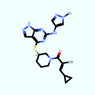 CCn1cc(Nc2nc(S[C@@H]3CCCN(C(=O)C(C#N)=CC4CC4)C3)c3cn[nH]c3n2)cn1